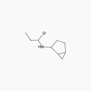 CCC([O])NC1CCC2CC21